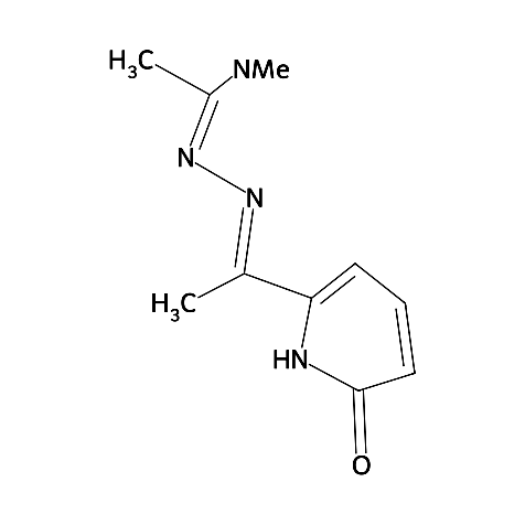 CN/C(C)=N\N=C(/C)c1cccc(=O)[nH]1